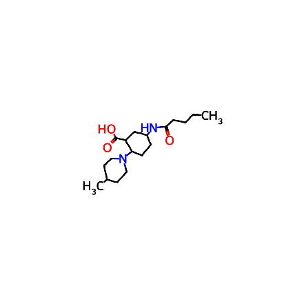 CCCCC(=O)NC1CCC(N2CCC(C)CC2)C(C(=O)O)C1